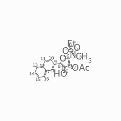 CCS(=O)(=O)N(C)c1oc(-c2ccc3ccccc3c2)c(O)c1OC(C)=O